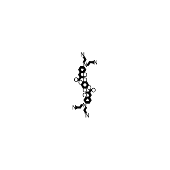 N#CCCN(CCC#N)c1ccc(C=C2C(=O)OC3(CCC4(CC3)OC(=O)C(=Cc3ccc(N(CCC#N)CCC#N)cc3)C(=O)O4)OC2=O)cc1